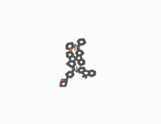 CC1(C)c2ccccc2-c2ccc(N(c3ccc(C4CC5CCC4C5)cc3)c3ccc4c(c3)C3(c5ccccc5-c5ccc(N(c6ccccc6)c6ccccc6)cc53)c3ccccc3-4)cc21